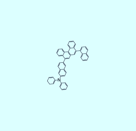 C1=CC(N(c2ccccc2)c2ccc3cc(-c4cc5cc(-c6cccc7ccccc67)c6ccccc6c5c5ccccc45)ccc3c2)=CCC1